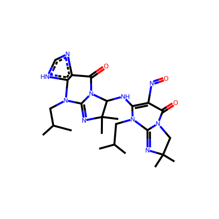 CC(C)CN1C2=NC(C)(C)CN2C(=O)C(N=O)=C1NC1N2C(=O)c3nc[nH]c3N(CC(C)C)C2=NC1(C)C